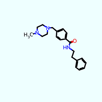 CN1CCN(Cc2ccc(C(=O)NCCc3ccccc3)cc2)CC1